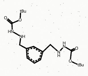 CC(C)(C)OC(=O)NNCc1cccc(CNNC(=O)OC(C)(C)C)c1